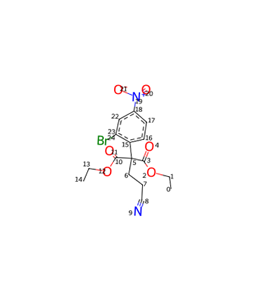 CCOC(=O)C(CCC#N)(C(=O)OCC)c1ccc([N+](=O)[O-])cc1Br